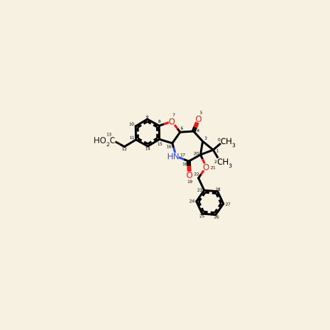 CC1(C)C2C(=O)C3Oc4ccc(CC(=O)O)cc4C3NC(=O)C21OCc1ccccc1